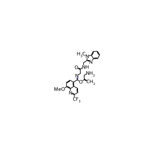 C=C(CN)O/C(=N\CC(=O)NCc1nc2ccccc2n1C)c1ccc(OC)c2nc(C(F)(F)F)ccc12